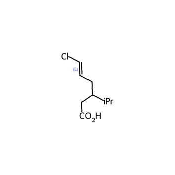 CC(C)C(C/C=C/Cl)CC(=O)O